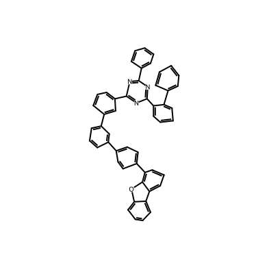 c1ccc(-c2nc(-c3cccc(-c4cccc(-c5ccc(-c6cccc7c6oc6ccccc67)cc5)c4)c3)nc(-c3ccccc3-c3ccccc3)n2)cc1